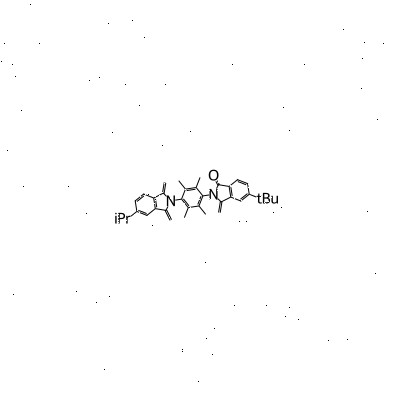 C=C1c2cc(C(C)(C)C)ccc2C(=O)N1c1c(C)c(C)c(-n2c(=C)c3ccc(C(C)C)cc3c2=C)c(C)c1C